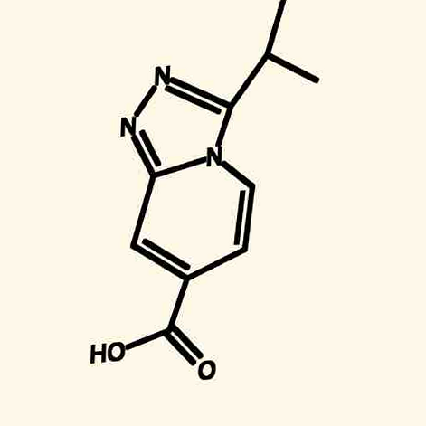 CC(C)c1nnc2cc(C(=O)O)ccn12